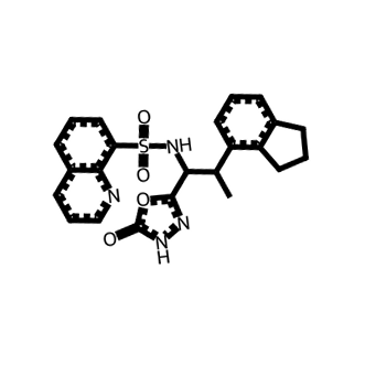 CC(c1cccc2c1CCC2)C(NS(=O)(=O)c1cccc2cccnc12)c1n[nH]c(=O)o1